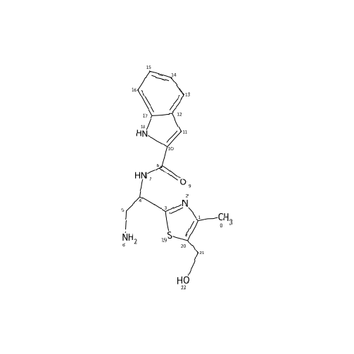 Cc1nc(C(CN)NC(=O)c2cc3ccccc3[nH]2)sc1CO